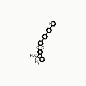 CC1(C)c2ccccc2-c2cc3c(cc21)Oc1ccc(-c2ccc(-c4ccc(-c5ccccn5)cc4)cc2)cc1O3